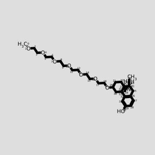 COCCOCCOCCOCCOCCOCCOC1CC[C@H]2[C@H]3Cc4ccc(O)cc4[C@@]2(CCN3C)C1